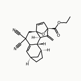 C=C1[C@H]2[C@H]3C(=C[C@@H]4CC[C@H]3C4)C(C#N)(C#N)C[C@]23C=C[C@@]1(C(=O)OCC)O3